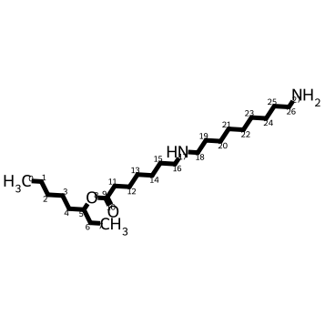 CCCCCC(CC)OC(=O)CCCCCCNCCCCCCCCCN